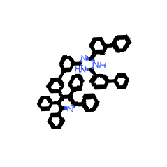 c1ccc(-c2cccc(C3=NC(c4cccc(-c5cccc(-c6c(-c7ccccc7)c(-c7ccccc7)nc(-c7ccccc7)c6-c6ccccc6)c5)c4)NC(c4cccc(-c5ccccc5)c4)N3)c2)cc1